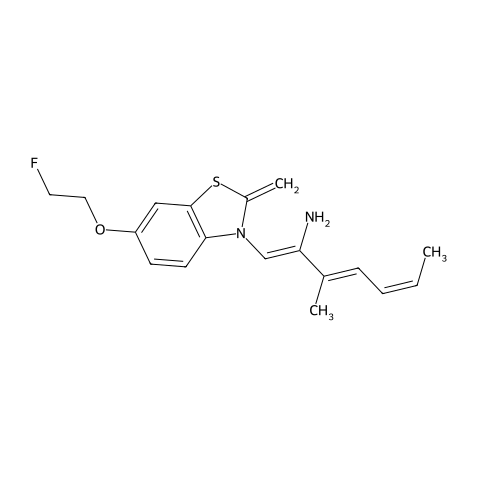 C=C1Sc2cc(OCCF)ccc2N1/C=C(N)/C(C)=C/C=C\C